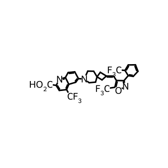 O=C(O)c1cc(C(F)(F)F)c2cc(N3CCC4(CC3)CC(=Cc3c(-c5ccccc5C(F)(F)F)noc3C(F)(F)F)C4)ccc2n1